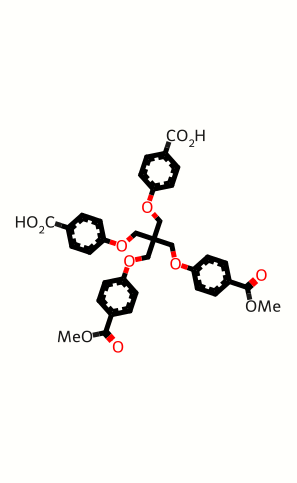 COC(=O)c1ccc(OCC(COc2ccc(C(=O)O)cc2)(COc2ccc(C(=O)O)cc2)COc2ccc(C(=O)OC)cc2)cc1